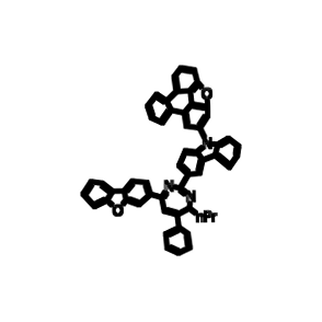 CCCC1N=C(c2ccc3c(c2)c2ccccc2n3-c2cc3oc4cccc5c6ccccc6c(c2)c3c45)N=C(c2ccc3c(c2)oc2ccccc23)C=C1c1ccccc1